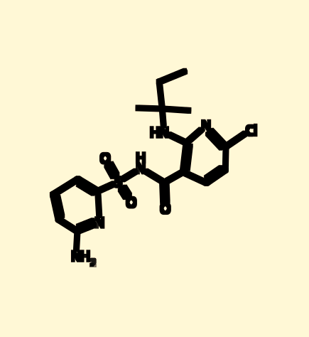 CCC(C)(C)Nc1nc(Cl)ccc1C(=O)NS(=O)(=O)c1cccc(N)n1